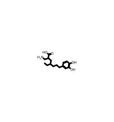 CCC(CCCc1ccc(O)c(O)c1)CC(CN)C(=O)O